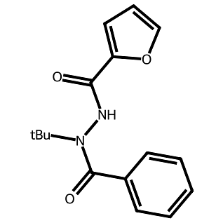 CC(C)(C)N(NC(=O)c1ccco1)C(=O)c1ccccc1